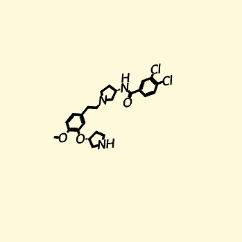 COc1ccc(CCN2CC[C@H](NC(=O)c3ccc(Cl)c(Cl)c3)C2)cc1O[C@@H]1CCNC1